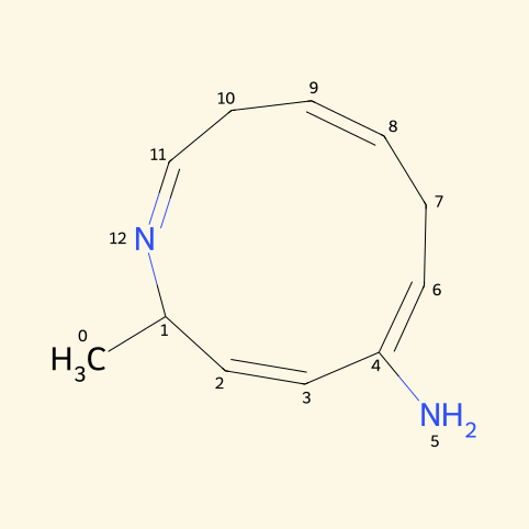 CC1/C=C\C(N)=C/C/C=C\C/C=N\1